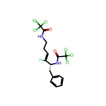 O=C(NCC/C=C(\F)[C@@H](Cc1ccccc1)NC(=O)C(Cl)(Cl)Cl)C(Cl)(Cl)Cl